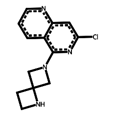 Clc1cc2ncccc2c(N2CC3(CCN3)C2)n1